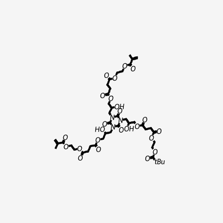 C=C(C)C(=O)OCCOC(=O)CCC(=O)OCC(O)Cn1c(=O)n(CC(O)COC(=O)CCC(=O)OCCOC(=O)C(=C)C)c(=O)n(CC(O)COC(=O)CCC(=O)OCCOC(=O)C(C)(C)C)c1=O